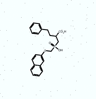 O=C(O)C(CCc1ccccc1)CP(=O)(O)CSc1ccc2ccccc2c1